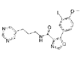 COc1ccc(-c2ocnc2C(=O)NCCCc2cncnc2)cc1I